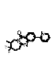 CC1Cn2c(nc3cc(-c4ccccn4)ccc3c2=O)CCC1(F)F